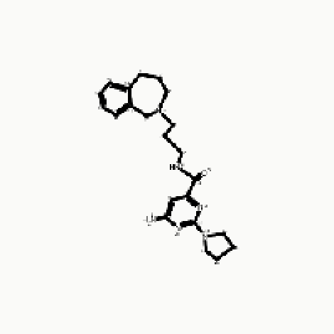 Nc1cc(C(=O)NCCCN2CCCc3ccccc3C2)nc(N2CCCC2)n1